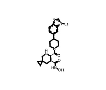 CCn1cnc2ccc(C3CCN(C(=O)[C@H]4NCC5(CC5)C[C@@H]4C(=O)NO)CC3)cc21